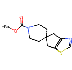 CC(C)(C)OC(=O)N1CCC2(CC1)Cc1ncsc1C2